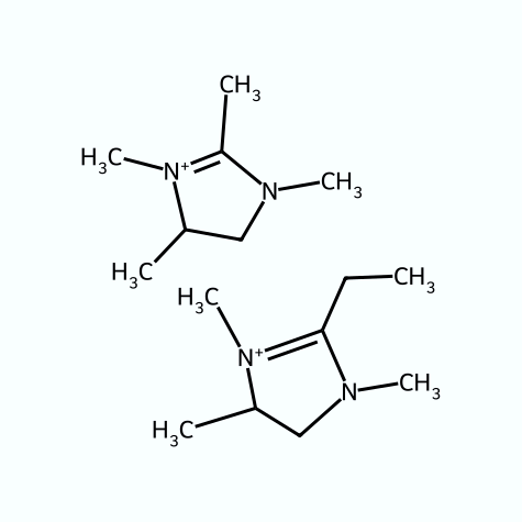 CC1=[N+](C)C(C)CN1C.CCC1=[N+](C)C(C)CN1C